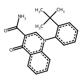 CC(C)(C)c1ccccc1-n1cc(C(N)=O)c(=O)c2ccccc21